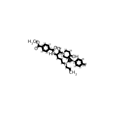 C=CCN(CCCC(NC(=O)c1ccc(C(=O)OC)cc1)C(=O)N1CCC(O)CC1)[C@@H]1C[C@H]1c1ccc(F)cc1